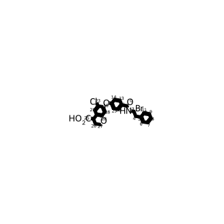 O=C(NCCc1ccccc1Br)c1ccc(Oc2cc3c(cc2Cl)C(C(=O)O)CCO3)cc1